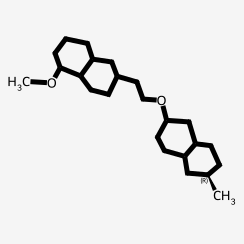 COC1CCCC2CC(CCOC3CCC4C[C@H](C)CCC4C3)CCC21